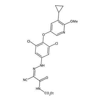 CCOC(=O)NC(=O)/C(C#N)=N\Nc1cc(Cl)c(Oc2cnc(OC)c(C3CC3)c2)c(Cl)c1